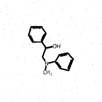 CN(CC(O)c1ccccc1)c1ccccc1